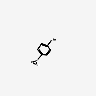 CC(C)(C)c1ccc(-n2[nH]o2)cc1